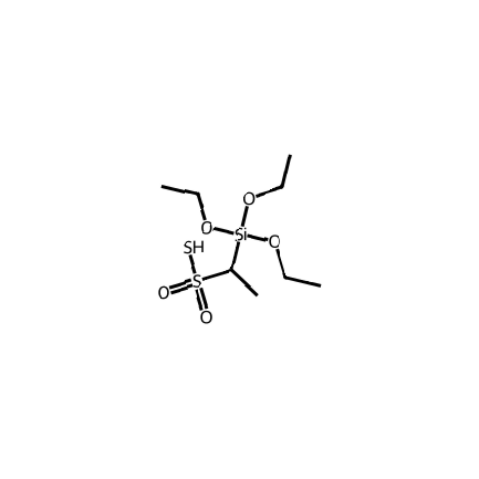 CCO[Si](OCC)(OCC)C(C)S(=O)(=O)S